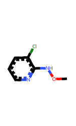 CONc1ncccc1Cl